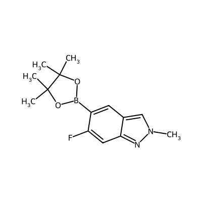 Cn1cc2cc(B3OC(C)(C)C(C)(C)O3)c(F)cc2n1